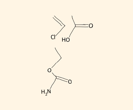 C=CCl.CC(=O)O.CCOC(N)=O